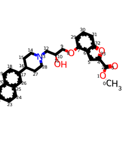 COC(=O)c1cc2c(OC[C@@H](O)CN3CCC(c4ccc5ccccc5c4)CC3)cccc2o1